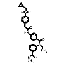 CCN(C(=O)c1ccc(NC(=O)Cc2ccc(S(=O)(=O)CC3CC3)cc2)cc1)c1cccc(C(=O)OC)c1